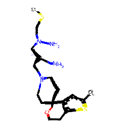 CCSCN(N)/C=C(\N)CN1CCC2(CC1)OCCc1sc(CC)cc12